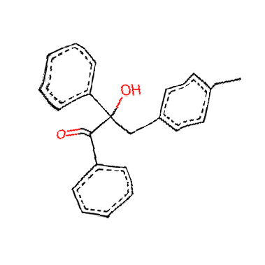 Cc1ccc(CC(O)(C(=O)c2ccccc2)c2ccccc2)cc1